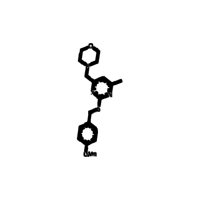 COc1ccc(CSc2nc(C)cc(CN3CCOCC3)n2)cc1